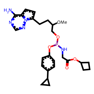 COC(CCc1ccc2c(N)ncnn12)COP(NCC(=O)OC1CCC1)Oc1ccc(C2CC2)cc1